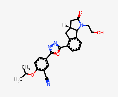 CC(C)Oc1ccc(-c2nnc(-c3cccc4c3C[C@@H]3CC(=O)N(CCO)C43)o2)cc1C#N